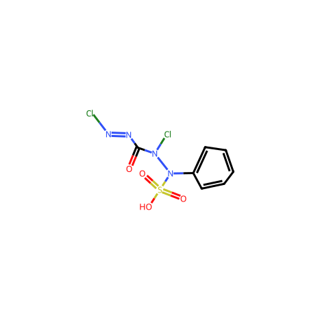 O=C(N=NCl)N(Cl)N(c1ccccc1)S(=O)(=O)O